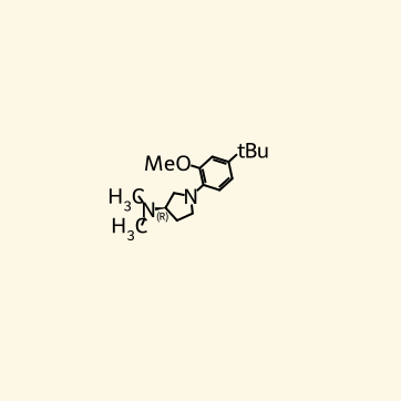 COc1cc(C(C)(C)C)ccc1N1CC[C@@H](N(C)C)C1